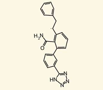 NC(=O)c1c([CH]Cc2ccccc2)cccc1-c1cccc(-c2nnn[nH]2)c1